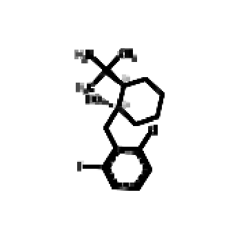 CC(C)(N)[C@H]1CCCC[C@@]1(O)Cc1c(F)cccc1Cl